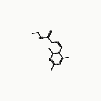 CCNC(=O)C/C=C\N1C(C)=CC(C)=NC1C